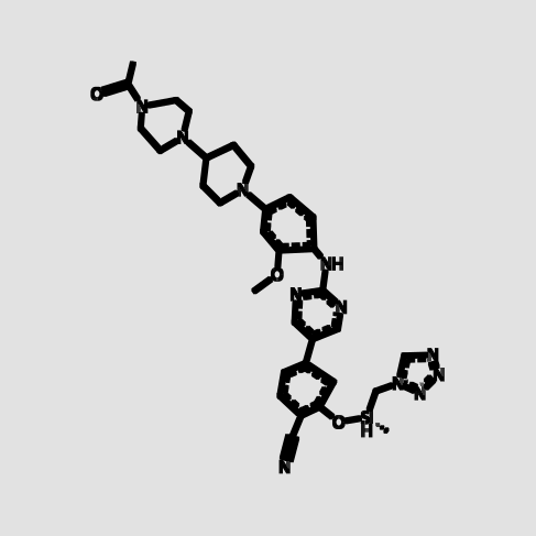 COc1cc(N2CCC(N3CCN(C(C)=O)CC3)CC2)ccc1Nc1ncc(-c2ccc(C#N)c(O[Si@@H](C)Cn3cnnn3)c2)cn1